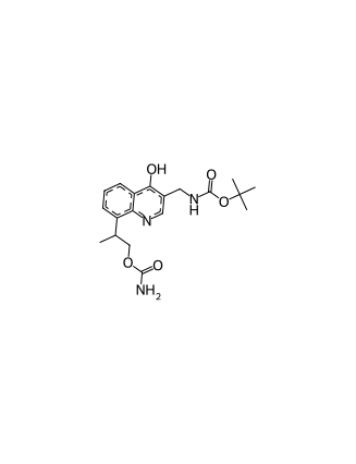 CC(COC(N)=O)c1cccc2c(O)c(CNC(=O)OC(C)(C)C)cnc12